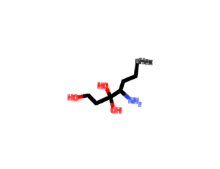 CCCCCCCCC(N)C(O)(O)CCO